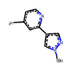 CC(C)c1ccnc(-c2cnn(C(C)(C)C)c2)c1